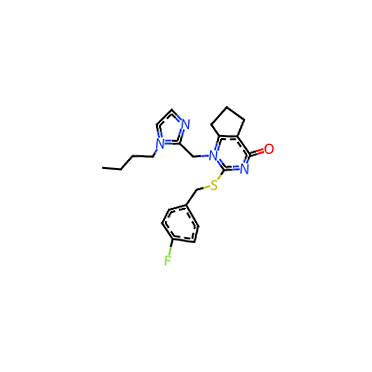 CCCCn1ccnc1Cn1c(SCc2ccc(F)cc2)nc(=O)c2c1CCC2